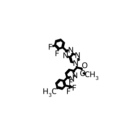 COC(=O)C(c1ccc(-c2ccc(C)cc2C(F)(F)F)nn1)n1cnc2nc(-c3cccc(F)c3F)nc-2c1